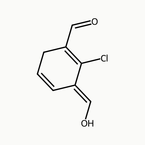 O=CC1=C(Cl)C(=CO)C=CC1